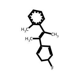 C/C(C1=CCC(F)C=C1)=C(/C)c1ccccc1C